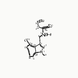 Cn1nc(CNC(=O)OC(C)(C)C)c2c(Cl)cccc21